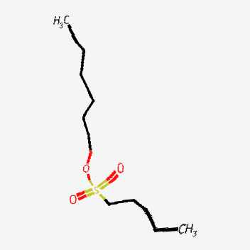 CCCCCCOS(=O)(=O)CCCC